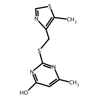 Cc1cc(O)nc(SCc2ncsc2C)n1